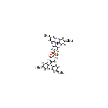 CC(C)(C)c1ccc(N(C2=CCC(S(=O)(=O)C3=CC=C(N(c4ccc(C(C)(C)C)cc4)c4ccc(C(C)(C)C)cc4)CC3)C=C2)c2ccc(C(C)(C)C)cc2)cc1